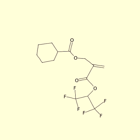 C=C(COC(=O)C1CCCCC1)C(=O)OC(C(F)(F)F)C(F)(F)F